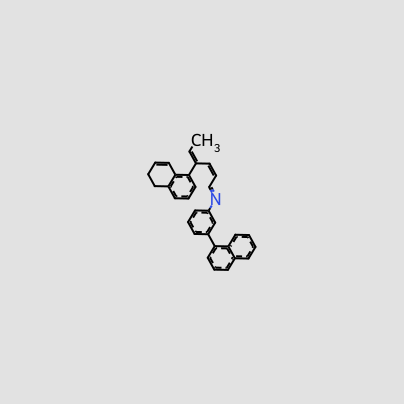 C\C=C(/C=C\C=N\c1cccc(-c2cccc3ccccc23)c1)c1cccc2c1C=CCC2